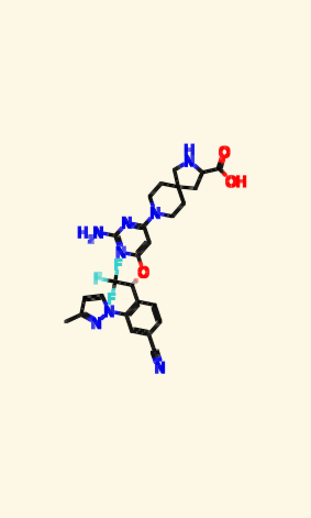 Cc1ccn(-c2cc(C#N)ccc2[C@@H](Oc2cc(N3CCC4(CC3)CNC(C(=O)O)C4)nc(N)n2)C(F)(F)F)n1